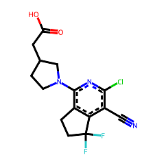 N#Cc1c(Cl)nc(N2CCC(CC(=O)O)C2)c2c1C(F)(F)CC2